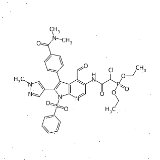 CCOP(=O)(OCC)C(Cl)C(=O)Nc1cnc2c(c1C=O)c(-c1ccc(C(=O)N(C)C)cc1)c(-c1cnn(C)c1)n2S(=O)(=O)c1ccccc1